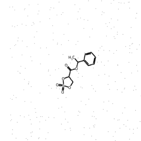 CC(OC(=O)C1COS(=O)(=O)O1)c1ccccc1